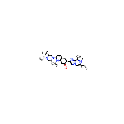 Cc1cn2cc(C3=Cc4ccc(N5CC(C)N(C)C[C@H]5C)nc4CC3=O)nc2c(C)n1